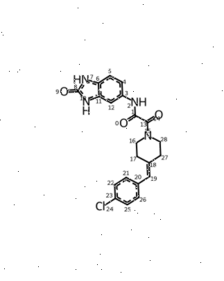 O=C(Nc1ccc2[nH]c(=O)[nH]c2c1)C(=O)N1CCC(=Cc2ccc(Cl)cc2)CC1